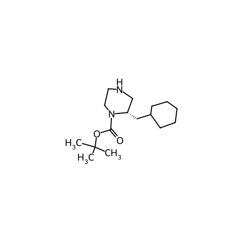 CC(C)(C)OC(=O)N1CCNC[C@@H]1CC1CCCCC1